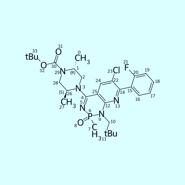 C[C@@H]1CN(C2=NP(C)(=O)N(CC(C)(C)C)c3nc(-c4ccccc4F)c(Cl)cc32)[C@@H](C)CN1C(=O)OC(C)(C)C